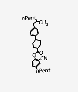 CCCCCc1ccc(OC(=O)C2CCC(c3ccc(CC(C)CCCCC)cc3)CC2)c(C#N)c1